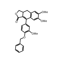 COc1cc2c(cc1OC)C(c1ccc(OCc3ccccc3)c(OC)c1)=C1C(=O)OCC1C2